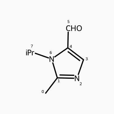 Cc1ncc(C=O)n1C(C)C